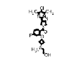 Cc1nc2c3c(nn2c(C)c1Cl)CN(C(=O)c1ccc(F)cc1O[C@H]1C[C@@H](N(C)CCO)C1)C3